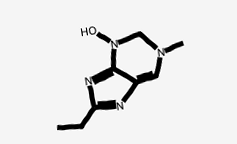 CCC1=NC2=CN(C)CN(O)C2=N1